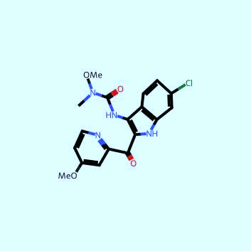 COc1ccnc(C(=O)c2[nH]c3cc(Cl)ccc3c2NC(=O)N(C)OC)c1